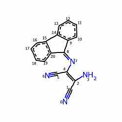 N#CC(N)=C(C#N)N=C1c2ccccc2-c2ccccc21